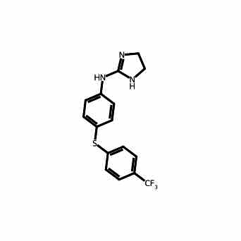 FC(F)(F)c1ccc(Sc2ccc(NC3=NCCN3)cc2)cc1